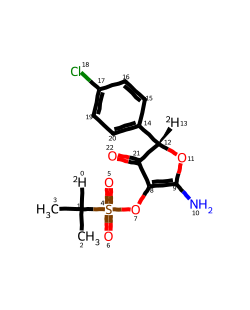 [2H]C(C)(C)S(=O)(=O)OC1=C(N)O[C@@]([2H])(c2ccc(Cl)cc2)C1=O